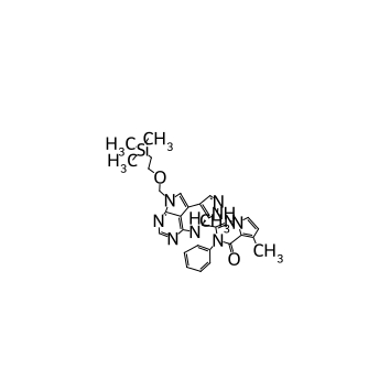 Cc1ccn2nc([C@H](C)Nc3ncnc4c3c(-c3cn[nH]c3)cn4COCC[Si](C)(C)C)n(-c3ccccc3)c(=O)c12